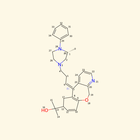 C[C@@H]1CN(CC/C=C2/C3=C(C=CC(C(C)(C)O)C3)OCc3ncccc32)CCN1c1ccccc1